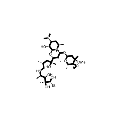 CC[C@@H](O)[C@@](C)(O)[C@H](O)[C@@H](C)NC[C@H](C)C[C@@](C)(O)[C@H](O[C@@H]1O[C@H](C)C[C@H](N(C)C)[C@H]1O)[C@@H](C)[C@@H](CC)O[C@H]1C[C@@](C)(OC)[C@]2(CO2)[C@H](C)O1